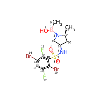 CB(O)N1C[C@H](NS(=O)(=O)c2c(F)c(Br)cc(F)c2Br)C[C@@H]1C